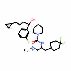 CNCC(CC1CCC(F)(F)CC1)NC(=O)N1CCC[C@@H](C(O)(CCCC2CC2)c2cccc(F)c2)C1